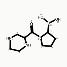 O=C(C1CNCCN1)N1CCCC1B(O)O